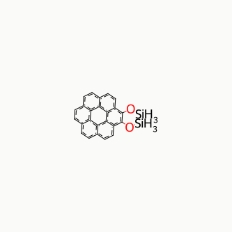 [SiH3]Oc1c(O[SiH3])c2ccc3ccc4ccc5ccc6ccc1c1c6c5c4c3c21